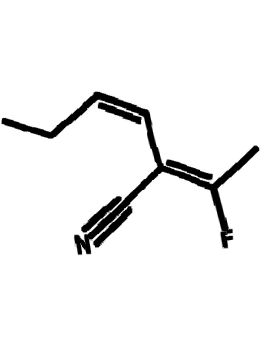 CC/C=C\C(C#N)=C(/C)F